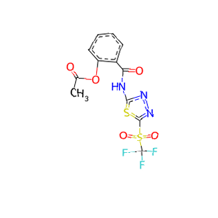 CC(=O)Oc1ccccc1C(=O)Nc1nnc(S(=O)(=O)C(F)(F)F)s1